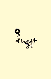 COC(=O)/C(=C/COC[C@@H](OCc1ccccc1)C(C)C)NC(=O)OC(C)(C)C